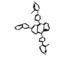 Cc1cnccc1-c1ccc(-c2c3ccccc3c(-c3ccc(-c4ccncc4C)cc3)c3cc(-c4ccc5ccccc5c4)ccc23)cc1